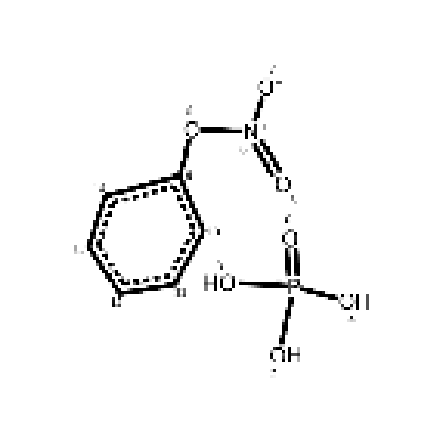 O=P(O)(O)O.O=[N+]([O-])Oc1ccccc1